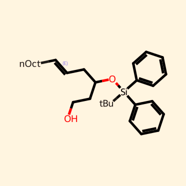 CCCCCCCC/C=C/CC(CCO)O[Si](c1ccccc1)(c1ccccc1)C(C)(C)C